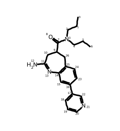 CCCN(CCC)C(=O)C1CC(N)=Nc2cc(-c3cccnc3)ccc2C1